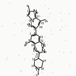 Cc1cn2nc(-c3cc(F)c4nc(C5CCN(C)CC5)nnc4c3)cc(C)c2n1